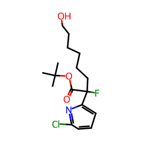 CC(C)(C)OC(=O)C(F)(CCCCCCO)c1cccc(Cl)n1